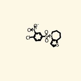 O=[N+]([O-])c1cc(S(=O)(=O)N2CCCCc3sccc32)ccc1Cl